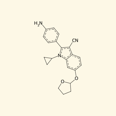 N#Cc1c(-c2ccc(N)cc2)n(C2CC2)c2cc(OC3CCCO3)ccc12